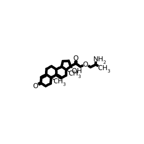 CC(N)COCC(=O)[C@@]1(O)CCC2C3CCC4=CC(=O)CC[C@]4(C)C3=CC[C@@]21C